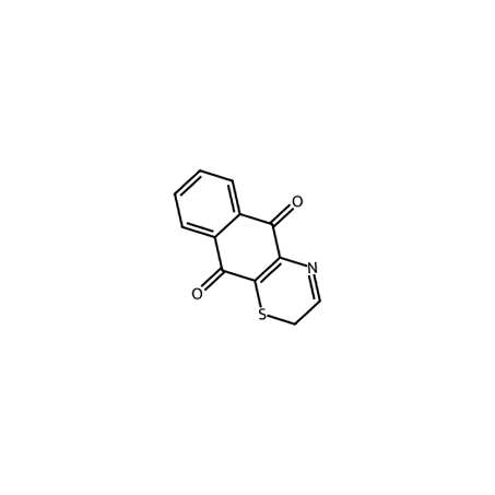 O=C1C2=C(SCC=N2)C(=O)c2ccccc21